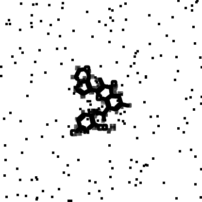 Cc1cc(C(C)Nc2ccc(Cl)nc2C(=O)O)c2oc(-c3cnn4c3COCC4)c(C)c(=O)c2c1